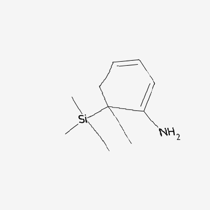 CC1([Si](C)(C)C)CC=CC=C1N